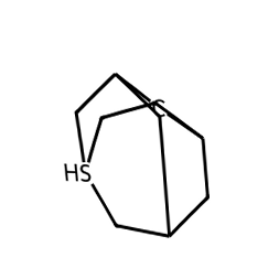 C1C[SH]2CC3CC1CC(C3)C2